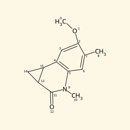 COc1cc2c(cc1C)N(C)C(=O)C1CC21